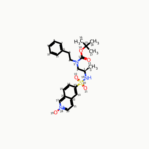 C[C@H](CN(CCc1ccccc1)C(=O)OC(C)(C)C)NS(=O)(=O)c1ccc2c[n+]([O-])ccc2c1